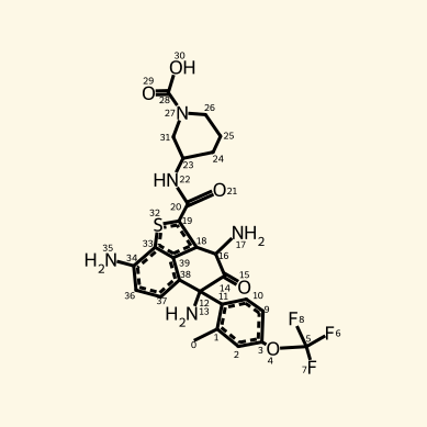 Cc1cc(OC(F)(F)F)ccc1C1(N)C(=O)C(N)c2c(C(=O)NC3CCCN(C(=O)O)C3)sc3c(N)ccc1c23